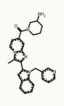 Cc1c(-c2cc3ccccc3n2Cc2cccnc2)nc2cc(C(=O)N3CCCC(N)C3)ccn12